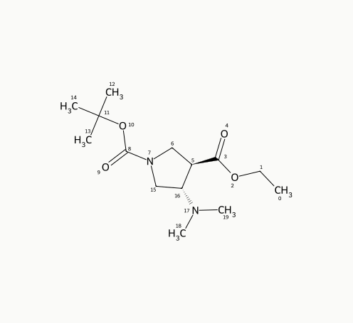 CCOC(=O)[C@@H]1CN(C(=O)OC(C)(C)C)C[C@H]1N(C)C